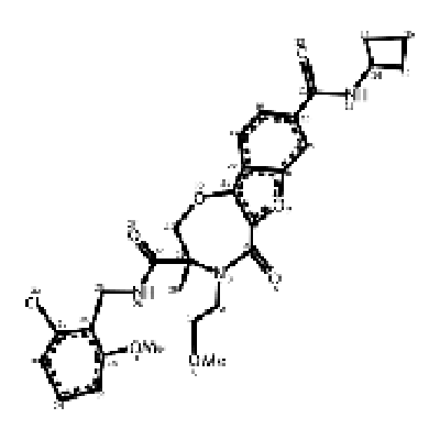 COCCN1C(=O)c2oc3cc(C(=O)NC4CCC4)ccc3c2OCC1(C)C(=O)NCc1c(Cl)cccc1OC